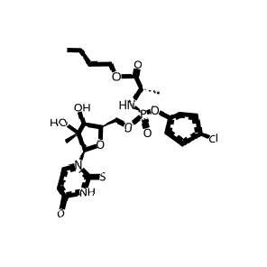 CCCCOC(=O)[C@H](C)N[P@@](=O)(OC[C@H]1O[C@@H](n2ccc(=O)[nH]c2=S)[C@](C)(O)C1O)Oc1ccc(Cl)cc1